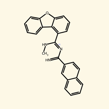 CN/C(=N\C(=N)c1ccc2ccccc2c1)c1cccc2oc3ccccc3c12